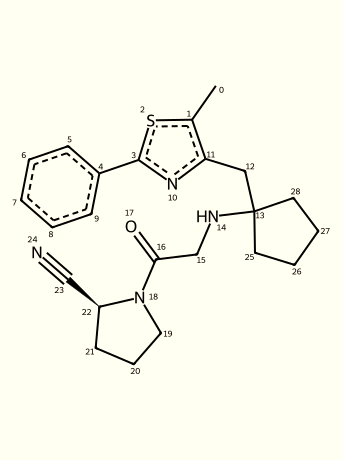 Cc1sc(-c2ccccc2)nc1CC1(NCC(=O)N2CCC[C@H]2C#N)CCCC1